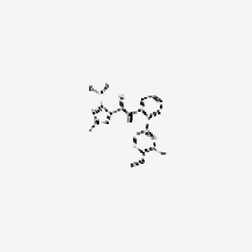 C=Cc1ccc(-c2ccccc2NC(=O)c2cn(C)nc2C(F)F)cc1F